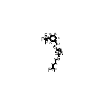 FC(F)=CCCSc1nnc(SCc2cccc(C(F)(F)F)c2)s1